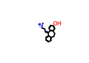 CN(C)CC/C=C1/c2ccccc2CCc2cc(O)ccc21